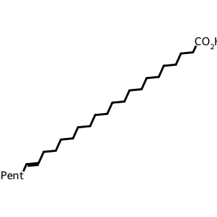 CCCCCC=CCCCCCCCCCCCCCCCCCCC(=O)O